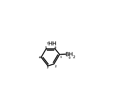 Bc1ccccc1.[HH]